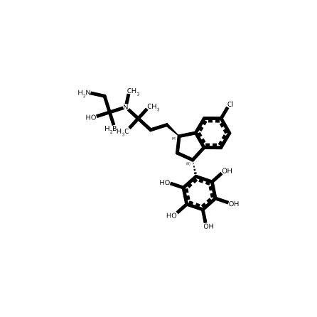 BC(O)(CN)N(C)C(C)(C)CC[C@@H]1C[C@@H](c2c(O)c(O)c(O)c(O)c2O)c2ccc(Cl)cc21